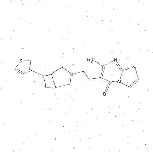 Cc1nc2sccn2c(=O)c1CCN1CC2CC(c3ccsc3)C2C1